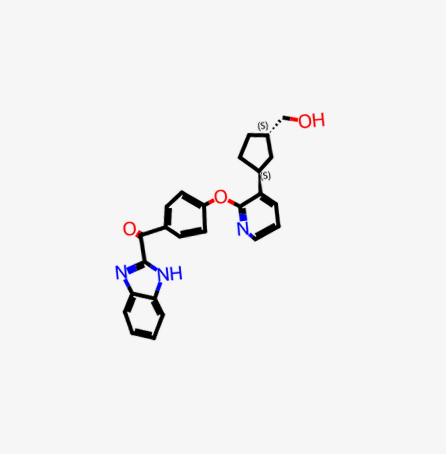 O=C(c1ccc(Oc2ncccc2[C@H]2CC[C@H](CO)C2)cc1)c1nc2ccccc2[nH]1